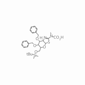 CN(C(=O)O)C1=N[C@H]2C(OC(CO[Si](C)(C)C(C)(C)C)C(OCc3ccccc3)C2OCc2ccccc2)S1